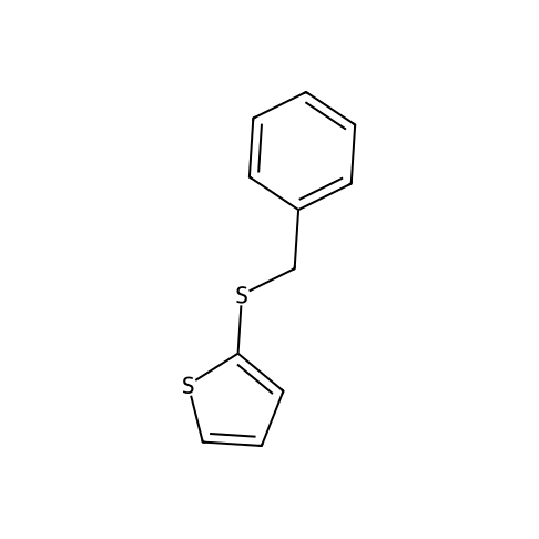 c1ccc(CSc2cccs2)cc1